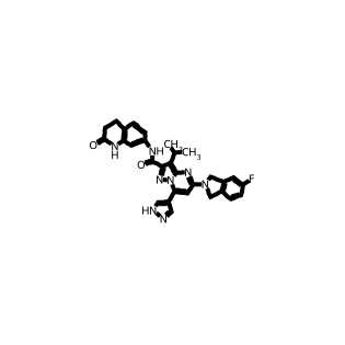 CC(C)c1c(C(=O)Nc2ccc3c(c2)NC(=O)CC3)nn2c(-c3cn[nH]c3)cc(N3Cc4ccc(F)cc4C3)nc12